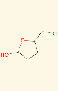 OC1CCC(CCl)O1